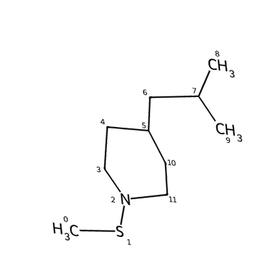 CSN1CCC(CC(C)C)CC1